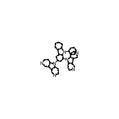 c1ccc(-n2c3ccccc3c3cc(-n4c5ccncc5c5cnccc54)cc(-n4c5ccncc5c5cnccc54)c32)cc1